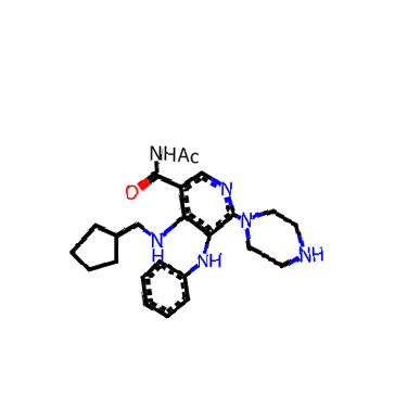 CC(=O)NC(=O)c1cnc(N2CCNCC2)c(Nc2ccccc2)c1NCC1CCCC1